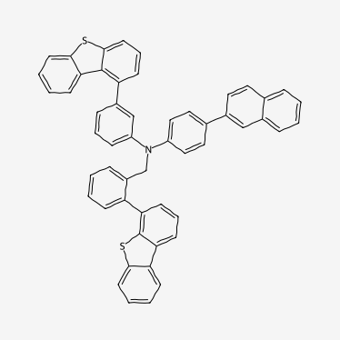 c1cc(-c2cccc3sc4ccccc4c23)cc(N(Cc2ccccc2-c2cccc3c2sc2ccccc23)c2ccc(-c3ccc4ccccc4c3)cc2)c1